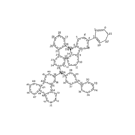 C1=CC(c2ccc3c(c2)c2ccccc2n3-c2ccccc2-c2ccc(N(c3ccc(-c4ccccc4)cc3)c3ccc4c5ccccc5c5ccccc5c4c3)cc2)=CCC1